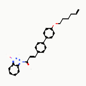 C=CCCCCOc1ccc(-c2ccc(/C=C/C(=O)n3n[n+]([O-])c4ccccc43)cc2)cc1